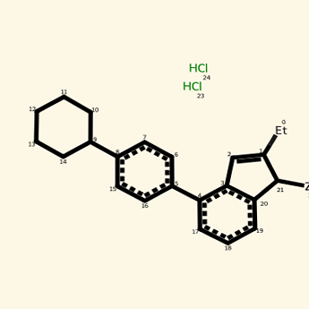 CCC1=Cc2c(-c3ccc(C4CCCCC4)cc3)cccc2[CH]1[Zr].Cl.Cl